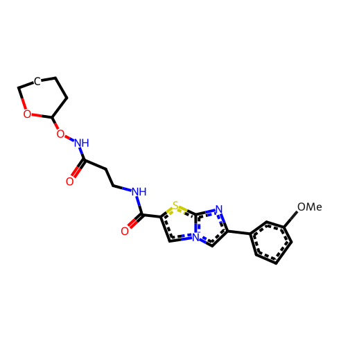 COc1cccc(-c2cn3cc(C(=O)NCCC(=O)NOC4CCCCO4)sc3n2)c1